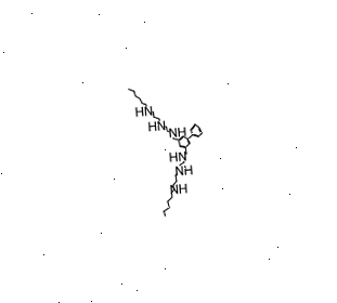 CCCCCCNCCCNCCNCc1cc(CNCCNCCCNCCCCCC)cc(-c2ccccc2)c1